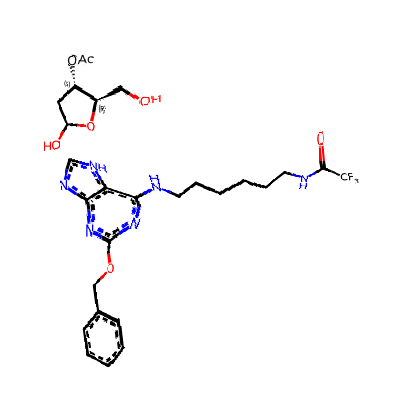 CC(=O)O[C@H]1CC(O)O[C@@H]1CO.O=C(NCCCCCCNc1nc(OCc2ccccc2)nc2nc[nH]c12)C(F)(F)F